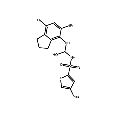 CC(C)c1cc(Cl)c2c(c1NC(O)NS(=O)(=O)c1cc(C(C)(C)C)cs1)CCC2